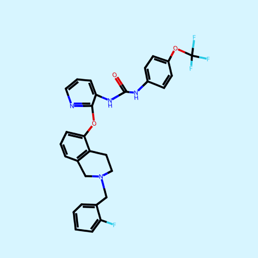 O=C(Nc1ccc(OC(F)(F)F)cc1)Nc1cccnc1Oc1cccc2c1CCN(Cc1ccccc1F)C2